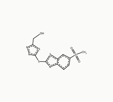 CS(=O)(=O)c1ccc2nc(Sc3nnc(CO)s3)sc2c1